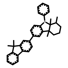 CC1CCCC2(C)c3cc(-c4ccc5c(c4)C(C)(C)c4ccccc4-5)ccc3N(c3ccccc3)C12C